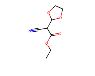 CCOC(=O)C(C#N)C1OCCO1